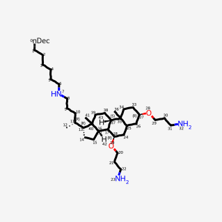 CCCCCCCCCCCCCCCCNCCC[C@@H](C)[C@H]1CC[C@H]2C3[C@H](OCCCN)CC4C[C@H](OCCCN)CCC4(C)[C@H]3CCC12C